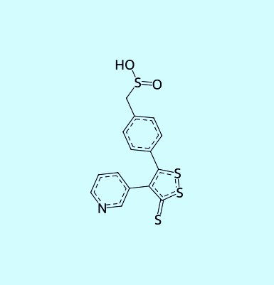 O=S(O)Cc1ccc(-c2ssc(=S)c2-c2cccnc2)cc1